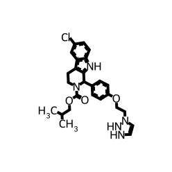 CC(C)COC(=O)N1CCc2c([nH]c3ccc(Cl)cc23)C1c1ccc(OCCN2C=CNN2)cc1